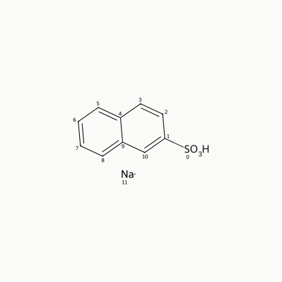 O=S(=O)(O)c1ccc2ccccc2c1.[Na]